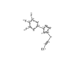 CCC#CCn1nnc(-c2cc(F)c(F)c(F)c2)n1